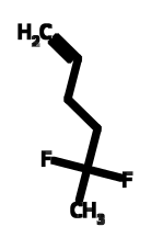 C=CCCC(C)(F)F